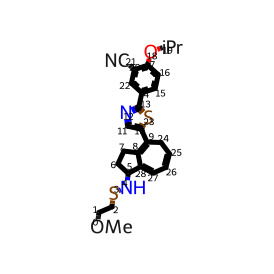 COCCSNC1CCC2=C(c3cnc(-c4ccc(OC(C)C)c(C#N)c4)s3)CC=CC=C21